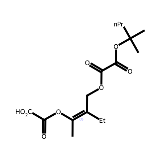 CCCC(C)(C)OC(=O)C(=O)OC/C(CC)=C(/C)OC(=O)C(=O)O